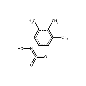 Cc1cccc(C)c1C.O=S(=O)=NO